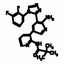 CC(C)(C)C(=O)Nc1ncccc1-c1cnc(N)c(-c2nncn2-c2cccc(F)c2F)c1